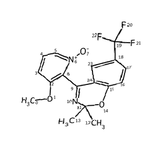 COc1ccc[n+]([O-])c1C1=NC(C)(C)Oc2ccc(C(F)(F)F)cc21